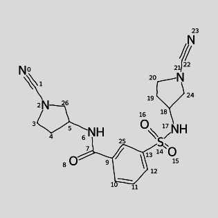 N#CN1CCC(NC(=O)c2cccc(S(=O)(=O)NC3CCN(C#N)C3)c2)C1